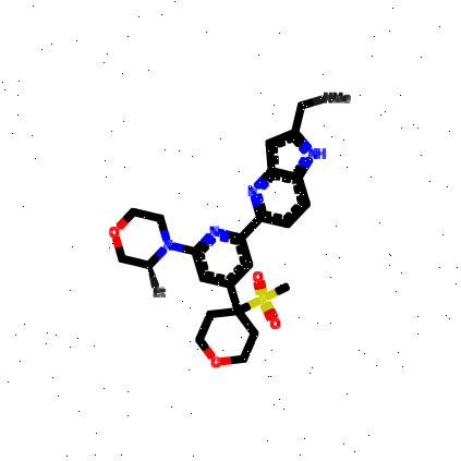 CC[C@H]1COCCN1c1cc(C2(S(C)(=O)=O)CCOCC2)cc(-c2ccc3[nH]c(CNC)cc3n2)n1